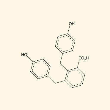 O=C(O)c1cccc(Cc2ccc(O)cc2)c1Cc1ccc(O)cc1